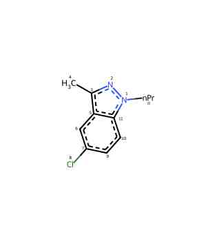 CCCn1nc(C)c2cc(Cl)ccc21